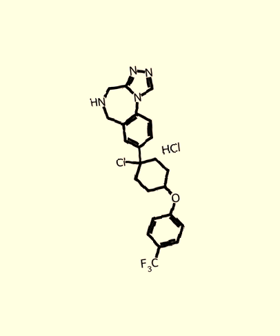 Cl.FC(F)(F)c1ccc(OC2CCC(Cl)(c3ccc4c(c3)CNCc3nncn3-4)CC2)cc1